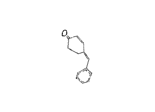 O=C1C=CC(=Cc2ccccc2)CC1